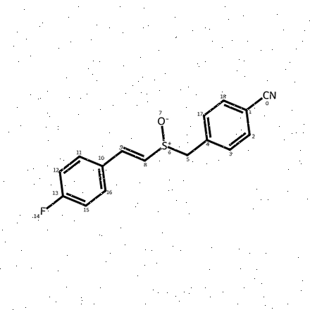 N#Cc1ccc(C[S+]([O-])C=Cc2ccc(F)cc2)cc1